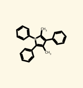 Cc1c(-c2ccccc2)c(C)n(-c2ccccc2)c1-c1ccccc1